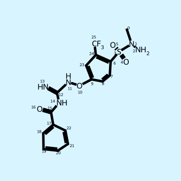 CN(N)S(=O)(=O)c1ccc(ONC(=N)NC(=O)c2ccccc2)cc1C(F)(F)F